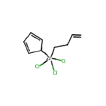 C=CC[CH2][Zr]([Cl])([Cl])([Cl])[CH]1C=CC=C1